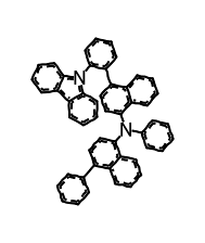 c1ccc(-c2ccc(N(c3ccccc3)c3ccc(-c4ccccc4-n4c5ccccc5c5ccccc54)c4ccccc34)c3ccccc23)cc1